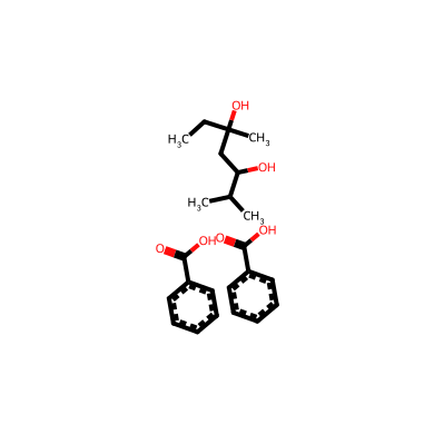 CCC(C)(O)CC(O)C(C)C.O=C(O)c1ccccc1.O=C(O)c1ccccc1